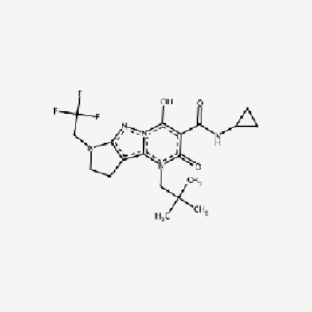 CC(C)(C)Cn1c(=O)c(C(=O)NC2CC2)c(O)n2nc3c(c12)CCN3CC(F)(F)F